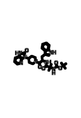 CC(C)(C)OC(=O)NC(C)(C)C(=O)NC(Cc1c[nH]c2ccccc12)C(=O)N1CCC(n2c(=O)[nH]c3cccnc32)CC1